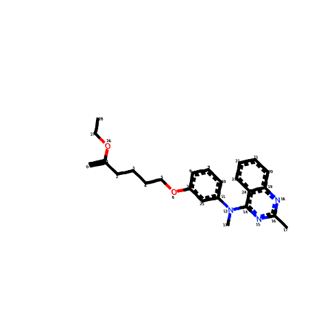 C=C(CCCCOc1cccc(N(C)c2nc(C)nc3ccccc23)c1)OCC